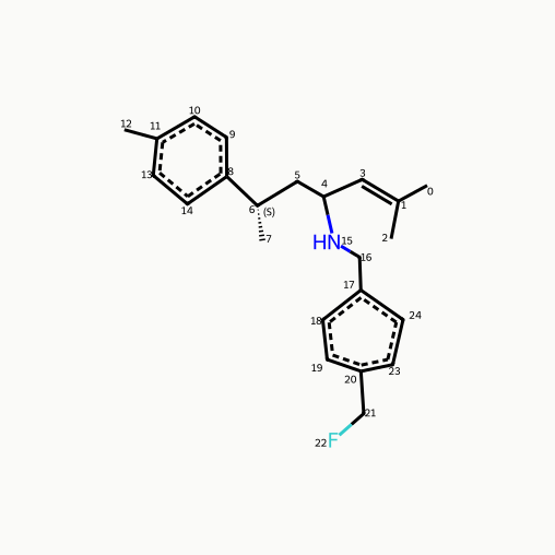 CC(C)=CC(C[C@H](C)c1ccc(C)cc1)NCc1ccc(CF)cc1